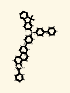 CC1(C)c2ccccc2-c2ccc(N(c3ccc(-c4ccccc4)cc3)c3ccc(-c4ccc5c(ccc6c5ccc5nc(-c7ccccc7)sc56)c4)cc3)cc21